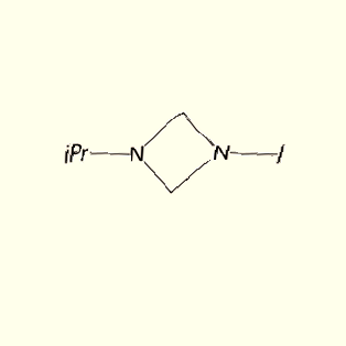 CC(C)N1CN(I)C1